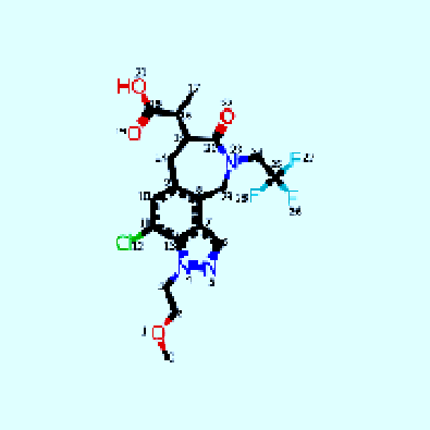 COCCn1ncc2c3c(cc(Cl)c21)CC(C(C)C(=O)O)C(=O)N(CC(F)(F)F)C3